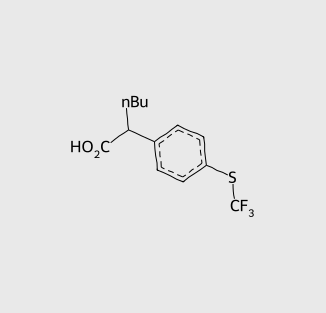 CCCCC(C(=O)O)c1ccc(SC(F)(F)F)cc1